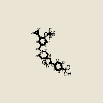 O=C(O)c1ccc(C2=NOC3(CCN(Cc4ccc(OC(F)(F)F)c(C5CC5)c4)CC3)C2)cc1